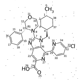 C[C@H]1CC[C@H](Cn2c(N3CCOC[C@H]3c3ccccc3)nc3cc(C(=O)O)nc(-c4ccc(Cl)cn4)c32)CC1